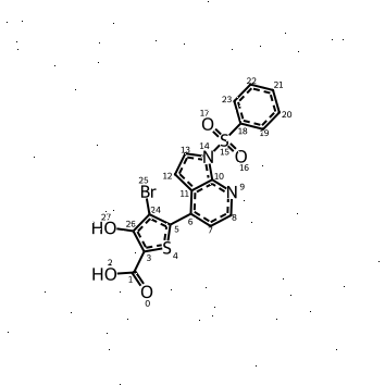 O=C(O)c1sc(-c2ccnc3c2ccn3S(=O)(=O)c2ccccc2)c(Br)c1O